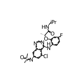 CC(C)NC(=O)[C@@H](C)Oc1cc(F)ccc1Nc1ncnc2cc(N=S(C)(C)=O)cc(Cl)c12